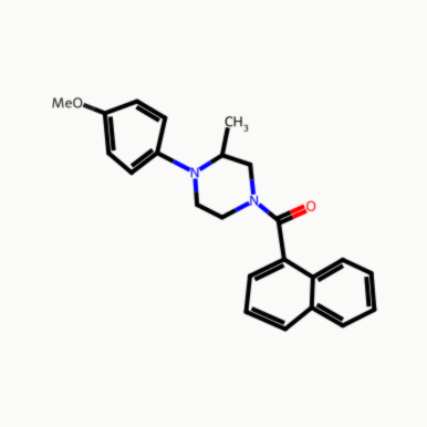 COc1ccc(N2CCN(C(=O)c3cccc4ccccc34)CC2C)cc1